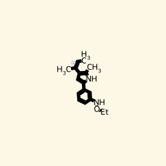 C/C=C(/C)c1cc(-c2cccc(NOCC)c2)[nH]c1C